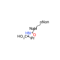 CCCCCCCCCCCCCC(=O)N[C@H](C(=O)O)C(C)C.[NaH]